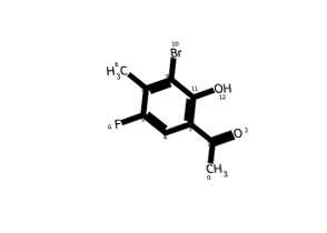 CC(=O)c1cc(F)c(C)c(Br)c1O